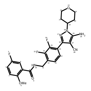 COc1ccc(F)cc1C(=O)NCc1ccc(-c2nn(C3CCOCC3)c(N)c2C#N)c(F)c1F